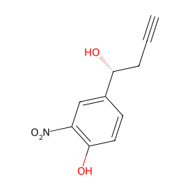 C#CC[C@@H](O)c1ccc(O)c([N+](=O)[O-])c1